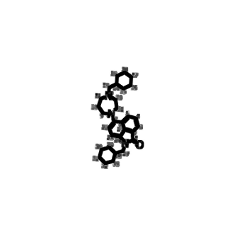 O=C1c2cccc3c(N4CCCN(CC5CCCCC5)CC4)ccc(c23)N1CC1CCCCC1